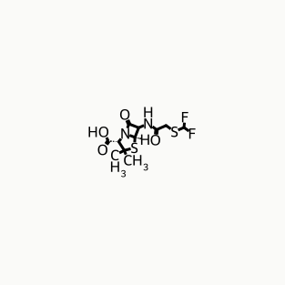 CC1(C)S[C@@H]2C(NC(=O)CSC(F)F)C(=O)N2[C@H]1C(=O)O